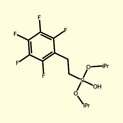 CC(C)O[Si](O)(CCc1c(F)c(F)c(F)c(F)c1F)OC(C)C